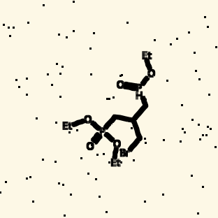 CCO[PH](=O)CC(CBr)CP(=O)(OCC)OCC